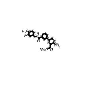 CNC(=O)c1nc(-c2cccc(C(=O)NCc3ccc(C)c(F)c3)c2)cnc1N